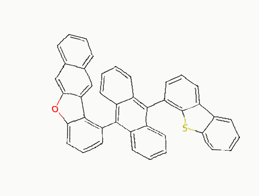 c1ccc2cc3c(cc2c1)oc1cccc(-c2c4ccccc4c(-c4cccc5c4sc4ccccc45)c4ccccc24)c13